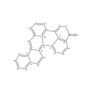 O=C1CC=c2c3cccc4cc5c6ccccc6ccc5c(c5cccc1c25)c43